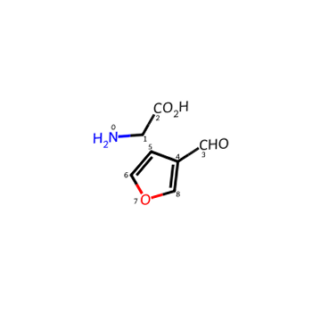 NCC(=O)O.O=Cc1ccoc1